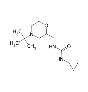 CC(C)(C)N1CCOC(CNC(=O)NC2CC2)C1